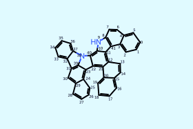 c1ccc2c(c1)ccc1[nH]c3c(c4ccc5ccccc5c4c4c5c6ccccc6cc6c7ccccc7n(c65)c34)c12